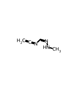 C=C=N/C=N\NC